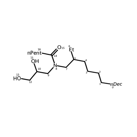 CCCCCCCCCCCCCCC(CC)CN(CC(O)CO)C(=O)CCCCC